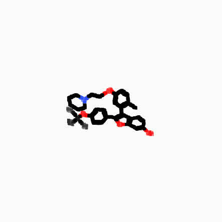 CC[Si](CC)(CC)Oc1ccc(-c2oc3cc(O)ccc3c2-c2cc(OCCN3CCCCC3)ccc2C)cc1